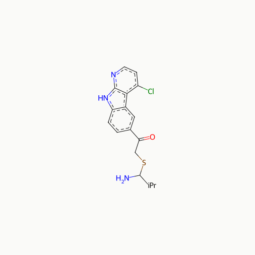 CC(C)C(N)SCC(=O)c1ccc2[nH]c3nccc(Cl)c3c2c1